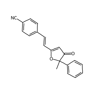 CC1(c2ccccc2)OC(C=Cc2ccc(C#N)cc2)=CC1=O